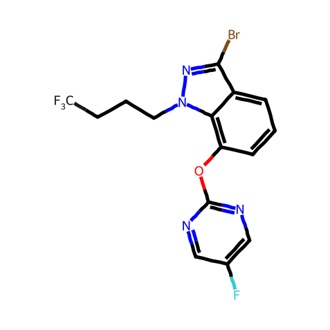 Fc1cnc(Oc2cccc3c(Br)nn(CCCC(F)(F)F)c23)nc1